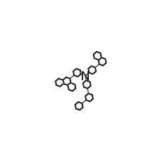 c1ccc(-c2cccc(-c3ccc(N(c4ccc(-c5cccc6ccccc56)cc4)c4cccc(-c5cc6ccccc6c6ccccc56)c4)cc3)c2)cc1